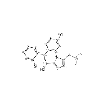 CN(C)Cc1ncc(CO)n1-c1cc(Cl)ccc1C(=O)c1ccccc1Cl